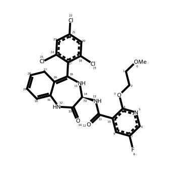 COCCOc1ncc(F)cc1C(=O)N[C@@H]1NC(c2c(Cl)cc(Cl)cc2Cl)=C2CC=CC=C2NC1=O